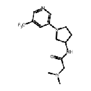 CN(C)CC(=O)NC1CCN(c2cncc(C(F)(F)F)c2)C1